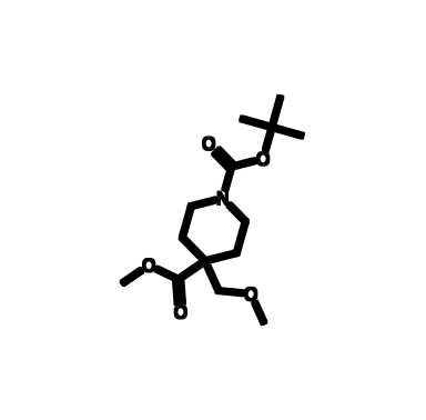 COCC1(C(=O)OC)CCN(C(=O)OC(C)(C)C)CC1